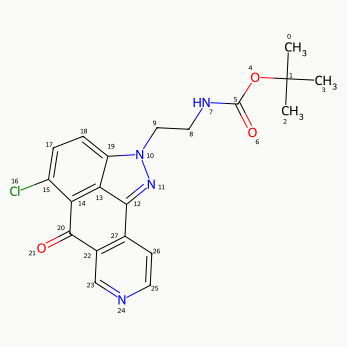 CC(C)(C)OC(=O)NCCn1nc2c3c(c(Cl)ccc31)C(=O)c1cnccc1-2